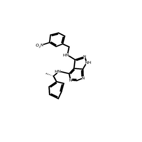 C[C@H](Nc1ncnc2[nH]nc(NCc3cccc([N+](=O)[O-])c3)c12)c1ccccc1